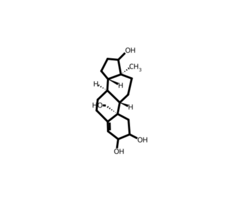 C[C@]12CC[C@H]3[C@@H](CCC4=CC(O)C(O)C[C@@]43CO)[C@@H]1CCC2O